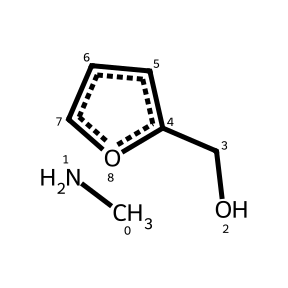 CN.OCc1ccco1